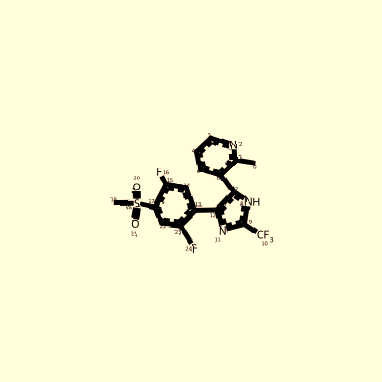 Cc1ncccc1-c1[nH]c(C(F)(F)F)nc1-c1cc(F)c(S(C)(=O)=O)cc1F